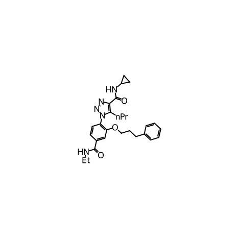 CCCc1c(C(=O)NC2CC2)nnn1-c1ccc(C(=O)NCC)cc1OCCCc1ccccc1